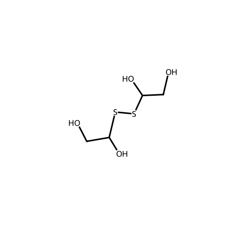 OCC(O)SSC(O)CO